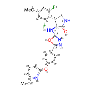 COc1cc(F)c([C@@H]2CNC(=O)[C@H]2Nc2nnc(-c3ccc(Oc4cccc(OC)n4)cc3)o2)c(F)c1